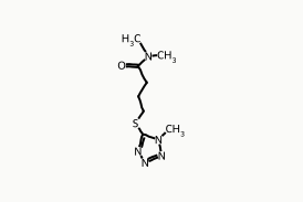 CN(C)C(=O)CCCSc1nnnn1C